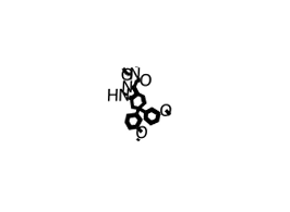 COc1cccc(C2(c3cccc(OC)c3)C=Cc3c(C(=O)N(C)OC)n[nH]c3C2)c1